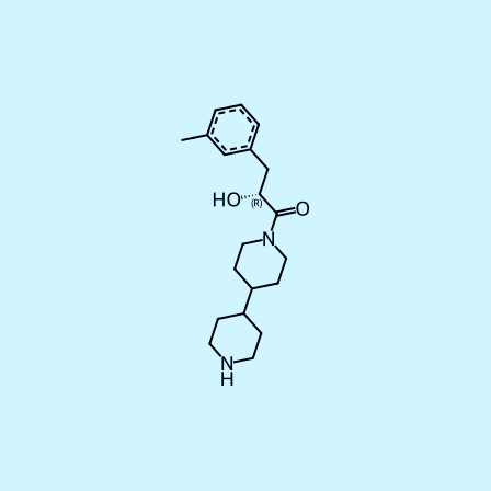 Cc1cccc(C[C@@H](O)C(=O)N2CCC(C3CCNCC3)CC2)c1